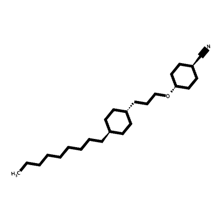 CCCCCCCCC[C@H]1CC[C@H](CCCO[C@H]2CC[C@H](C#N)CC2)CC1